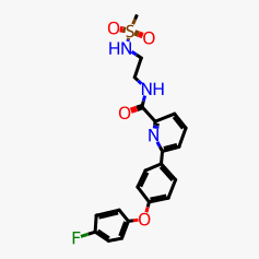 CS(=O)(=O)NCCNC(=O)c1cccc(-c2ccc(Oc3ccc(F)cc3)cc2)n1